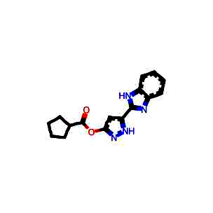 O=C(Oc1cc(-c2nc3ccccc3[nH]2)[nH]n1)C1CCCC1